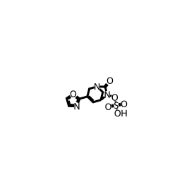 O=C1N2CC(c3ncco3)=CC(C2)N1OS(=O)(=O)O